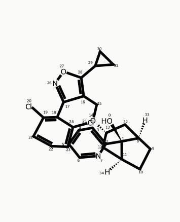 O[C@@]1(c2ccccn2)[C@@H]2CC[C@H]1C[C@H](OCc1c(-c3c(Cl)cccc3Cl)noc1C1CC1)C2